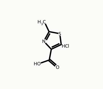 Cc1nc(C(=O)O)cs1.Cl